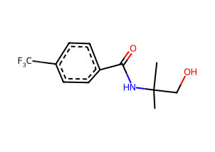 CC(C)(CO)NC(=O)c1ccc(C(F)(F)F)cc1